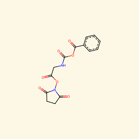 O=C(CNC(=O)OC(=O)c1ccccc1)ON1C(=O)CCC1=O